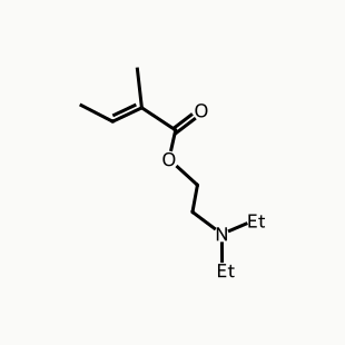 CC=C(C)C(=O)OCCN(CC)CC